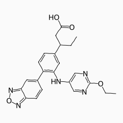 CCOc1ncc(Nc2cc(C(CC)CC(=O)O)ccc2-c2ccc3nonc3c2)cn1